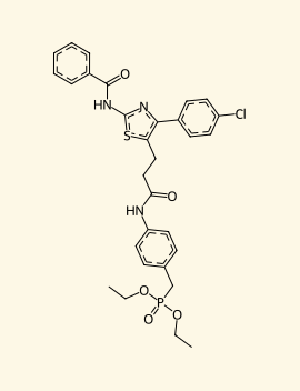 CCOP(=O)(Cc1ccc(NC(=O)CCc2sc(NC(=O)c3ccccc3)nc2-c2ccc(Cl)cc2)cc1)OCC